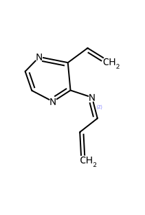 C=C/C=N\c1nccnc1C=C